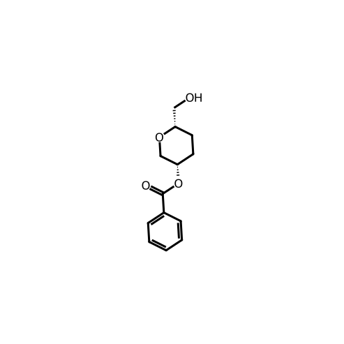 O=C(O[C@H]1CC[C@@H](CO)OC1)c1ccccc1